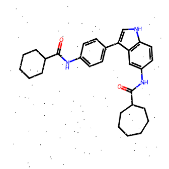 O=C(Nc1ccc2[nH]cc(-c3ccc(NC(=O)C4CCCCC4)cc3)c2c1)C1CCCCCC1